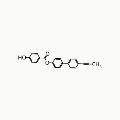 CC#Cc1ccc(-c2ccc(OC(=O)c3ccc(O)cc3)cc2)cc1